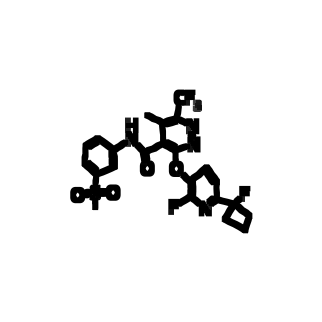 Cc1c(C(F)(F)F)nnc(Oc2ccc(C3(F)CCC3)nc2F)c1C(=O)Nc1cccc(S(C)(=O)=O)c1